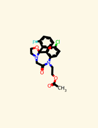 CC(=O)OCCN1C(=O)CN2CCOC2(c2ccccc2F)c2cc(Cl)ccc21